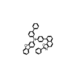 c1ccc(-c2cccc(N(c3ccc(-c4cccc5ccc6nc(-c7ccccc7)oc6c45)cc3)c3ccc4c(c3)oc3ccccc34)c2)cc1